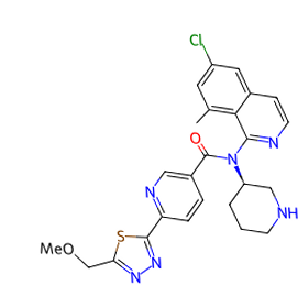 COCc1nnc(-c2ccc(C(=O)N(c3nccc4cc(Cl)cc(C)c34)[C@@H]3CCCNC3)cn2)s1